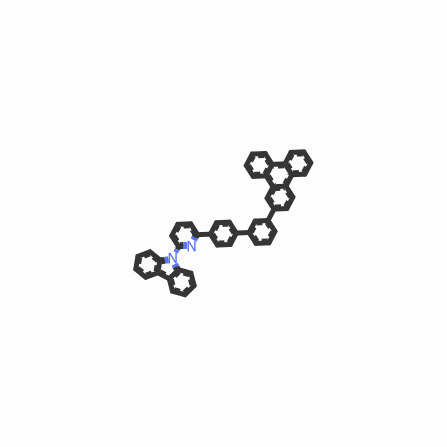 c1cc(-c2ccc(-c3cccc(-n4c5ccccc5c5ccccc54)n3)cc2)cc(-c2ccc3c4ccccc4c4ccccc4c3c2)c1